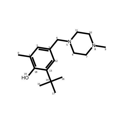 Cc1cc(CN2CCN(C)CC2)cc(C(C)(C)C)c1O